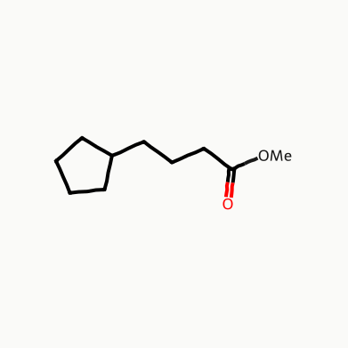 COC(=O)CCCC1CCCC1